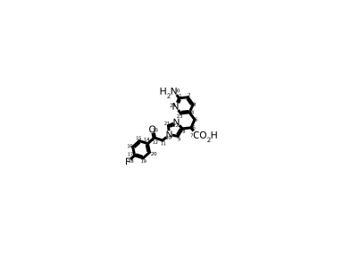 Nc1ccc(CC(C(=O)O)c2cn(CC(=O)c3ccc(F)cc3)cn2)cn1